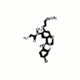 C=CC(=O)N(C)c1cc2c(Nc3ccc(Br)cc3F)ncnc2cc1OCCNC(C)=O